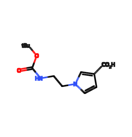 CC(C)(C)OC(=O)NCCn1ccc(C(=O)O)c1